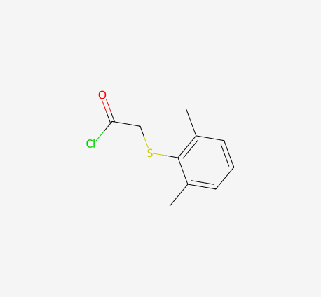 Cc1cccc(C)c1SCC(=O)Cl